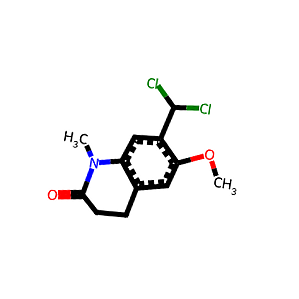 COc1cc2c(cc1C(Cl)Cl)N(C)C(=O)CC2